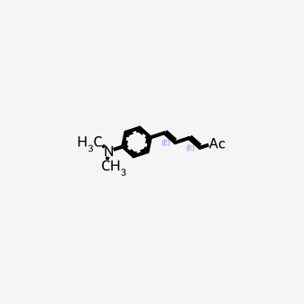 CC(=O)/C=C/C=C/c1ccc(N(C)C)cc1